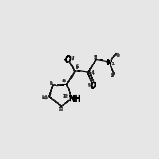 CN(C)CC(=O)C([O])C1CCCN1